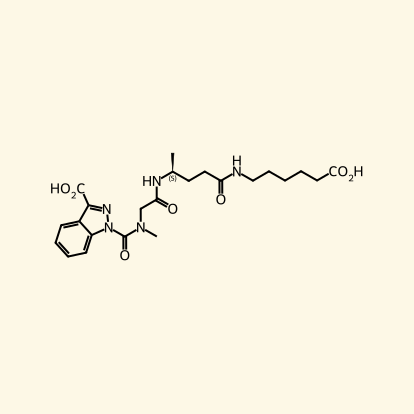 C[C@@H](CCC(=O)NCCCCCC(=O)O)NC(=O)CN(C)C(=O)n1nc(C(=O)O)c2ccccc21